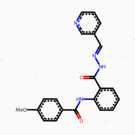 COc1ccc(C(=O)Nc2ccccc2C(=O)N/N=C/c2cccnc2)cc1